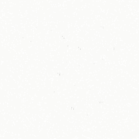 C[C@H]1CN(c2ncc(C(F)(F)F)cc2C(=O)Nc2ccnc(S(N)(=O)=O)c2)CCCC1(F)F